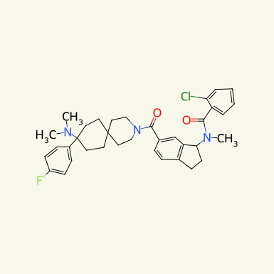 CN(C(=O)c1ccccc1Cl)C1CCc2ccc(C(=O)N3CCC4(CC3)CCC(c3ccc(F)cc3)(N(C)C)CC4)cc21